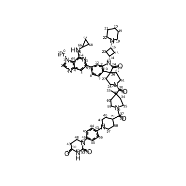 CC(C)n1cnc2cc(-c3ccc4c(c3)N([C@H]3C[C@@H](N5CCCCC5)C3)C(=O)C43CCN(C(=O)C4(C)CCN(C(=O)C5CCN(c6ccc(N7CCC(=O)NC7=O)cc6)CC5)CC4)CC3)nc(NC3CC3)c21